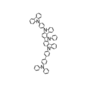 c1ccc(N(c2ccccc2)c2ccc(-c3ccc(-n4c5ccccc5c5c4ccc4c6ccc7c(c8ccccc8n7-c7ccc(-n8c9ccccc9c9ccccc98)cc7)c6n(-c6ccccc6)c45)cc3)cc2)cc1